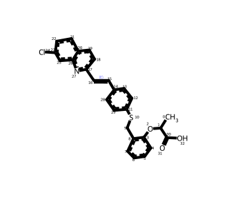 CC(Oc1ccccc1CSc1ccc(/C=C/c2ccc3ccc(Cl)cc3n2)cc1)C(=O)O